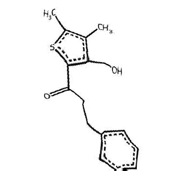 Cc1sc(C(=O)CCc2ccccc2)c(O)c1C